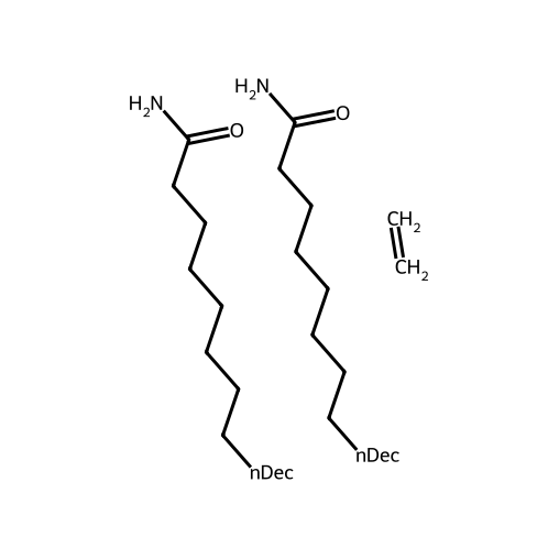 C=C.CCCCCCCCCCCCCCCCCC(N)=O.CCCCCCCCCCCCCCCCCC(N)=O